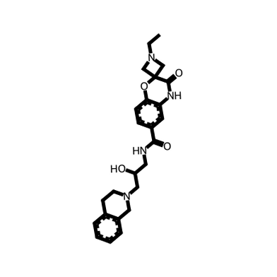 CCN1CC2(C1)Oc1ccc(C(=O)NCC(O)CN3CCc4ccccc4C3)cc1NC2=O